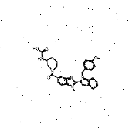 COc1ccc(Cn2c(-c3nc4cc(C(=O)N5CCCC(NC(=O)O)C5)ccc4n3C)cc3ccccc32)cc1